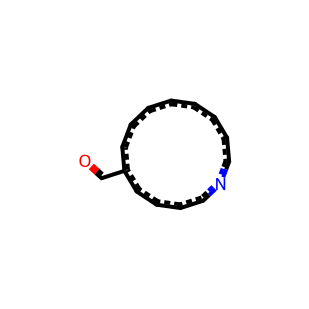 O=Cc1ccccccccncccc1